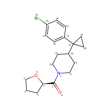 O=C([C@H]1CCCO1)N1CCC(C2(c3ccc(Br)cc3)CC2)CC1